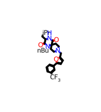 CCCCN1C(=O)C(CC(C)C)NC(=O)C12CCN(Cc1ccc(-c3cccc(C(F)(F)F)c3)o1)CC2